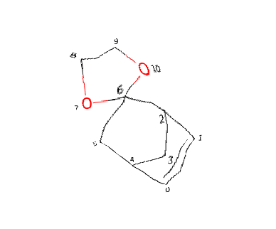 C1=CC2CC1CC21OCCO1